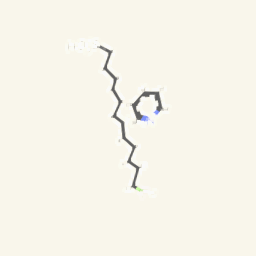 O=S(=O)(O)CCCCCCCCCCCCF.c1ccncc1